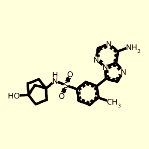 Cc1ccc(S(=O)(=O)NC23CCC(O)(CC2)C3)cc1-c1cnc2c(N)ncnn12